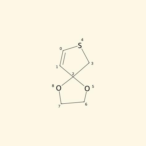 C1=CC2(CS1)OCCO2